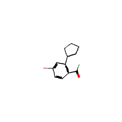 O=C(Cl)c1ccc(Br)cc1C1CCCC1